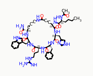 CCCC[C@H](NC(C)=O)C(=O)N[C@H]1CCC(=O)NCCC[C@@H](C(N)=O)NC(=O)[C@H](Cc2c[nH]c3ccccc23)NC(=O)[C@H](CCCNC(=N)N)NC(=O)[C@@H](Cc2ccccc2)NC(=O)[C@H](Cc2c[nH]cn2)NC1=O